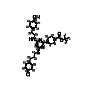 CC(C)(C)OC(=O)N1CCN(c2nc(NCCc3ccc(O)cc3)nc(SCCCc3ccc(Cl)cc3)n2)CC1